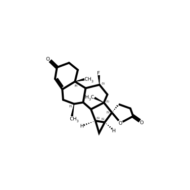 C[C@H]1CC2=CC(=O)CC[C@]2(C)C2C1C1[C@@H]3C[C@@H]3[C@@]3(CCC(=O)O3)[C@@]1(C)C[C@@H]2F